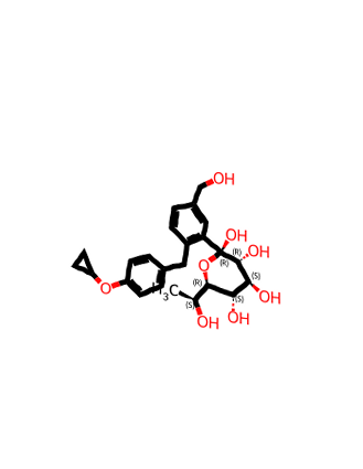 C[C@H](O)[C@H]1O[C@](O)(c2cc(CO)ccc2Cc2ccc(OC3CC3)cc2)[C@H](O)[C@@H](O)[C@@H]1O